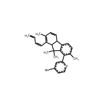 C=C/C=C\C1=C(C)C=CC2c3ccc(C)c(-c4cc(C(C)(C)C)ccn4)c3C(C)(C)C12